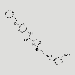 COc1cccc(CNCCNc2nc(C(=O)Nc3ccc(OCc4ccccc4)cc3)co2)c1